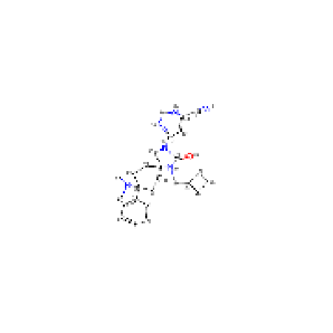 CN(C)C1(c2ccccc2)CCC2(CC1)CN(c1cc(C#N)ncn1)C(=O)N2CC1CCC1